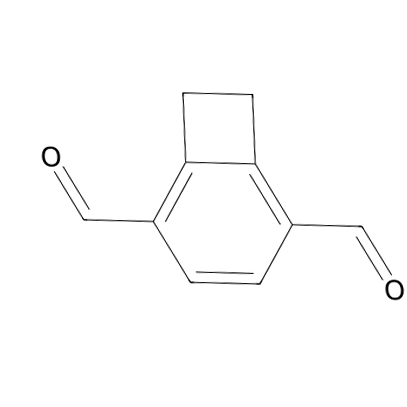 O=Cc1ccc(C=O)c2c1CC2